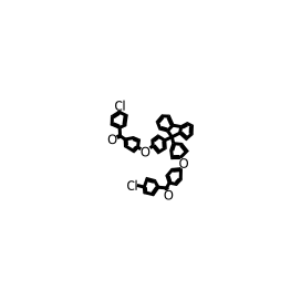 O=C(c1ccc(Cl)cc1)c1ccc(Oc2ccc(C3(c4ccc(Oc5ccc(C(=O)c6ccc(Cl)cc6)cc5)cc4)c4ccccc4-c4ccccc43)cc2)cc1